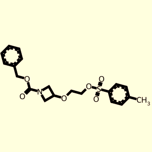 Cc1ccc(S(=O)(=O)OCCOC2CN(C(=O)OCc3ccccc3)C2)cc1